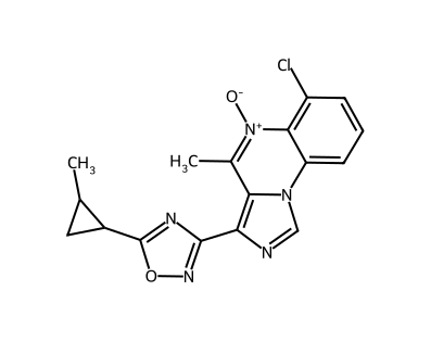 Cc1c2c(-c3noc(C4CC4C)n3)ncn2c2cccc(Cl)c2[n+]1[O-]